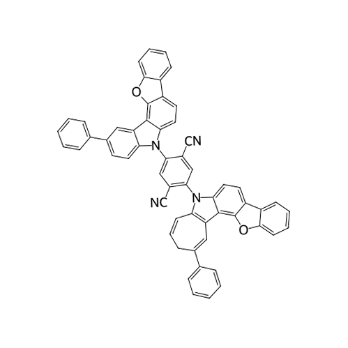 N#Cc1cc(-n2c3ccc(-c4ccccc4)cc3c3c4oc5ccccc5c4ccc32)c(C#N)cc1-n1c2c(c3c4oc5ccccc5c4ccc31)C=C(c1ccccc1)CC=C2